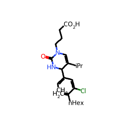 C=C(CCCCCC)/C(Cl)=C\C(=C/C)C1NC(=O)N(CCCC(=O)O)C=C1C(C)C